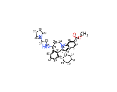 COC(=O)c1ccc2c(C3CCCCC3)c3n(c2c1)CCC(NCCN1CCCC1)c1ccccc1-3